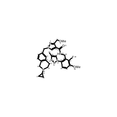 COCc1nn(Cc2ccc3c(c2)CCN(C2CC2)C3)cc1C(=O)NCc1c(-n2cc(C)nn2)ccc(OC)c1F